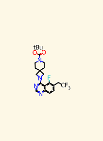 CC(C)(C)OC(=O)N1CCC2(CC1)CN(c1ncnc3ccc(CC(F)(F)F)c(F)c13)C2